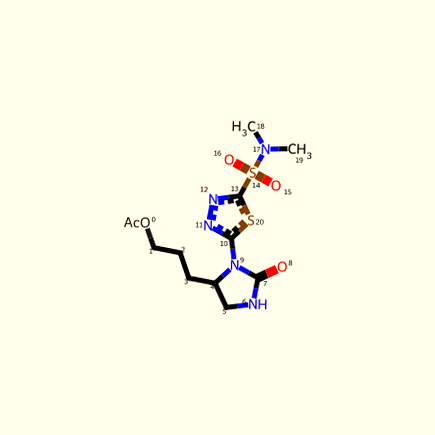 CC(=O)OCCCC1CNC(=O)N1c1nnc(S(=O)(=O)N(C)C)s1